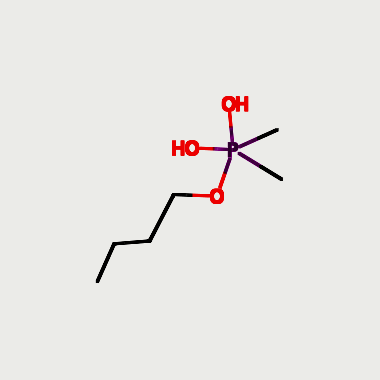 CCCCOP(C)(C)(O)O